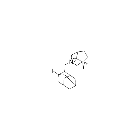 CC1(C)C2CC[C@]1(C)CN(CC1C3CC4CC(C3)CC1(I)C4)C2